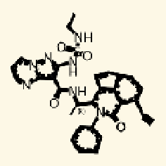 C#Cc1ccc2c3c(c([C@@H](C)NC(=O)c4c(NS(=O)(=O)NCC)nn5cccnc45)n(-c4ccccc4)c(=O)c13)C=C2